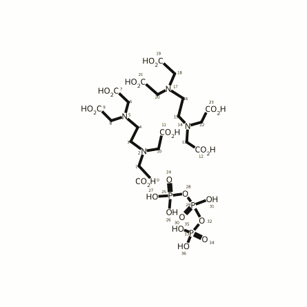 O=C(O)CN(CCN(CC(=O)O)CC(=O)O)CC(=O)O.O=C(O)CN(CCN(CC(=O)O)CC(=O)O)CC(=O)O.O=P(O)(O)OP(=O)(O)OP(=O)(O)O